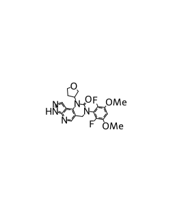 COc1cc(OC)c(F)c(N2Cc3cnc4[nH]ncc4c3N(C3CCOC3)C2=O)c1F